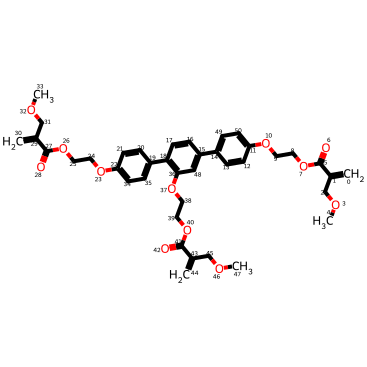 C=C(COC)C(=O)OCCOc1ccc(-c2ccc(-c3ccc(OCCOC(=O)C(=C)COC)cc3)c(OCCOC(=O)C(=C)COC)c2)cc1